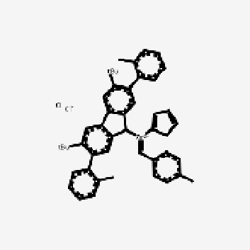 Cc1ccc(/[CH]=[Zr+2](\[C]2=CC=CC2)[CH]2c3cc(-c4ccccc4C)c(C(C)(C)C)cc3-c3cc(C(C)(C)C)c(-c4ccccc4C)cc32)cc1.[Cl-].[Cl-]